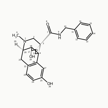 CN1CC[C@]23C[C@@H](C(=O)NCc4ccccc4)C[C@@]2(O)[C@H]1Cc1ccc(O)cc13